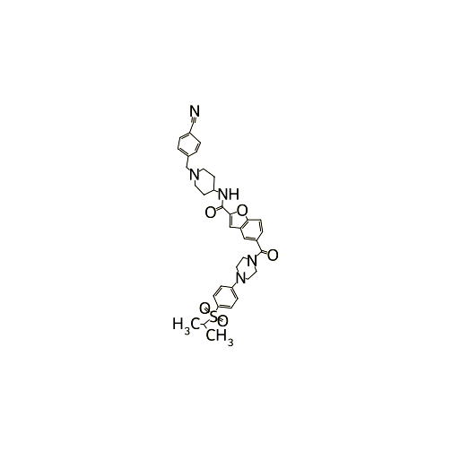 CC(C)S(=O)(=O)c1ccc(N2CCN(C(=O)c3ccc4oc(C(=O)NC5CCN(Cc6ccc(C#N)cc6)CC5)cc4c3)CC2)cc1